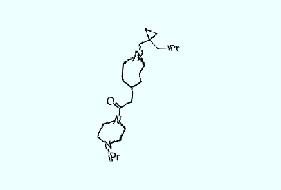 CC(C)CC1(CN2CCC(CC(=O)N3CCN(C(C)C)CC3)CC2)CC1